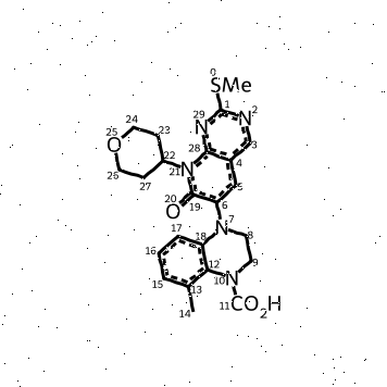 CSc1ncc2cc(N3CCN(C(=O)O)c4c(C)cccc43)c(=O)n(C3CCOCC3)c2n1